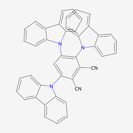 N#Cc1c(-n2c3ccccc3c3ccccc32)cc(-n2c3ccccc3c3ccccc32)c(-n2c3ccccc3c3ccccc32)c1C#N